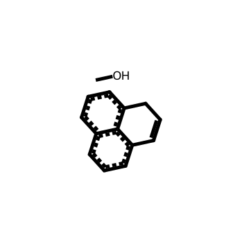 C1=Cc2cccc3cccc(c23)C1.CO